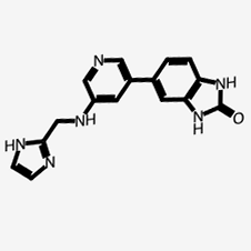 O=c1[nH]c2ccc(-c3cncc(NCc4ncc[nH]4)c3)cc2[nH]1